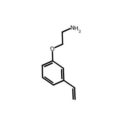 C=Cc1cccc(OCCN)c1